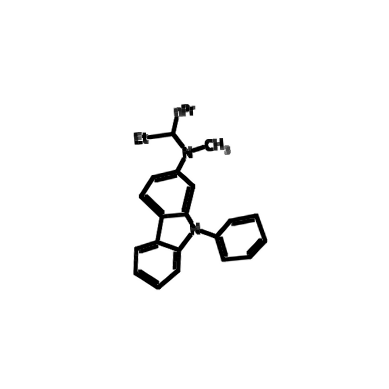 CCCC(CC)N(C)c1ccc2c3ccccc3n(-c3ccccc3)c2c1